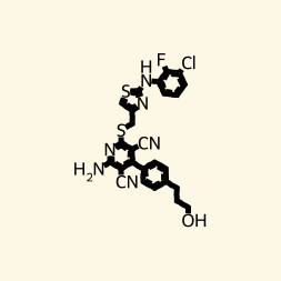 N#Cc1c(N)nc(SCc2csc(Nc3cccc(Cl)c3F)n2)c(C#N)c1-c1ccc(CCCO)cc1